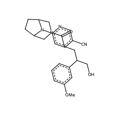 COc1cccc(C(CO)CCC(=O)N2CC3CCC(C2)N3c2ccc(C#N)cn2)c1